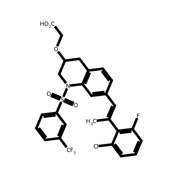 CC(=Cc1ccc2c(c1)N(S(=O)(=O)c1cccc(C(F)(F)F)c1)CC(OCC(=O)O)C2)c1c(F)cccc1Cl